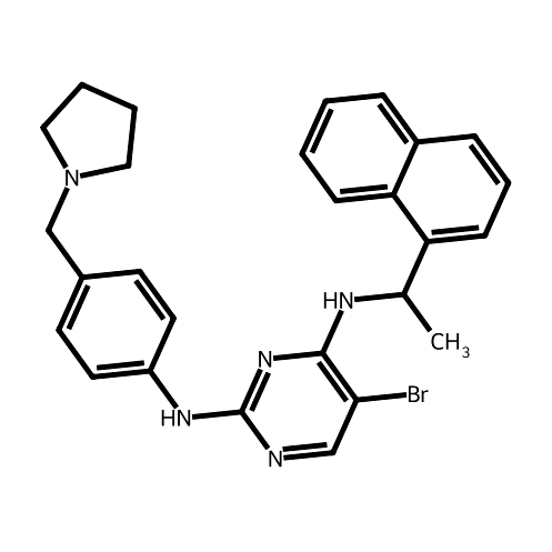 CC(Nc1nc(Nc2ccc(CN3CCCC3)cc2)ncc1Br)c1cccc2ccccc12